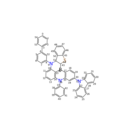 c1ccc(-c2cccc(N3c4cccc5c4B(c4ccc(-n6c7ccccc7c7ccccc76)cc4N5c4ccccc4)C4Sc5ccccc5C43)c2)cc1